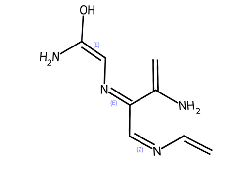 C=C\N=C/C(=N/C=C(\N)O)C(=C)N